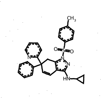 Cc1ccc(S(=O)(=O)n2nc(NC3CC3)c3c2CC(c2ccccc2)(c2ccccn2)C=C3)cc1